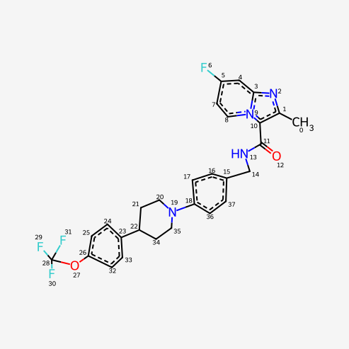 Cc1nc2cc(F)ccn2c1C(=O)NCc1ccc(N2CCC(c3ccc(OC(F)(F)F)cc3)CC2)cc1